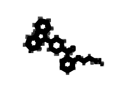 NCCOc1ccccc1C(=O)N1CCN(C2c3ccccc3-c3ccccc32)CC1